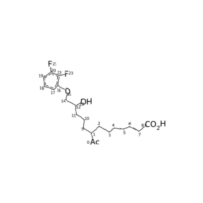 CC(=O)C(CCCCCCC(=O)O)CCCC(O)COc1cccc(F)c1F